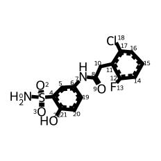 NS(=O)(=O)c1cc(NC(=O)Cc2c(F)cccc2Cl)ccc1O